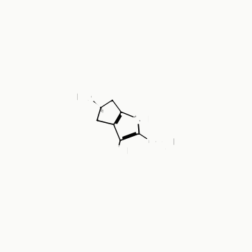 Cc1c(C(=O)O)[nH]c2c1C[C@@H](O)C2